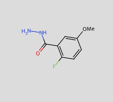 COc1ccc(F)c(C(=O)NN)c1